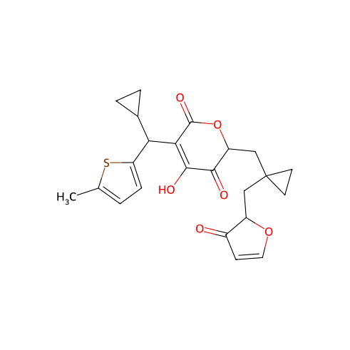 Cc1ccc(C(C2=C(O)C(=O)C(CC3(CC4OC=CC4=O)CC3)OC2=O)C2CC2)s1